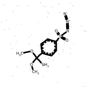 COC([SiH3])(OC)c1ccc(S(=O)(=O)N=[N+]=[N-])cc1